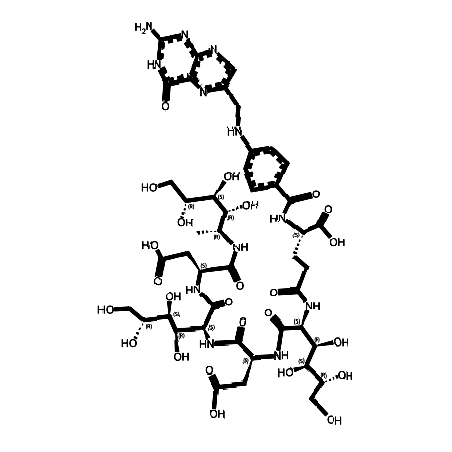 C[C@@H](NC(=O)[C@H](CC(=O)O)NC(=O)[C@@H](NC(=O)[C@H](CC(=O)O)NC(=O)[C@@H](NC(=O)CC[C@H](NC(=O)c1ccc(NCc2cnc3nc(N)[nH]c(=O)c3n2)cc1)C(=O)O)[C@@H](O)[C@H](O)[C@H](O)CO)[C@@H](O)[C@H](O)[C@H](O)CO)[C@@H](O)[C@H](O)[C@H](O)CO